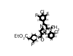 CCOC(=O)CC1CCN(C(=O)c2cc3nc(-c4cc(F)c(Cl)c(F)c4)cc(N(C)c4ccccc4Cl)n3n2)CC1F